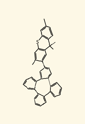 Cc1ccc2c(c1)Sc1cc(C)c(-c3ccc4c(c3)-c3ccccc3-c3ccccc3-c3ccccc3-4)cc1C2(C)C